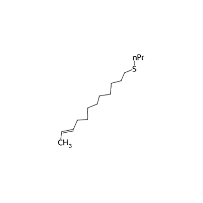 CC=CCCCCCCCCCSCCC